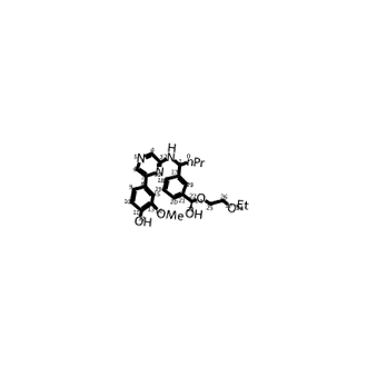 CCCC(Nc1cncc(-c2ccc(O)c(OC)c2)n1)c1cccc([C@H](O)OCCOCC)c1